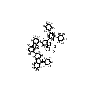 C=N/C=C(\C=C(/C)c1nc(-c2ccccc2)nc(-c2ccccc2)n1)c1cccc2c1oc1c(-c3ccc4c(c3)c3ccccc3n4-c3ccccc3)cccc12